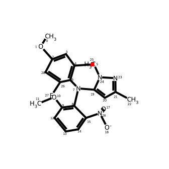 COc1cc(F)c(N(c2c(OC)cccc2[N+](=O)[O-])c2cc(C)nn2C)c(F)c1